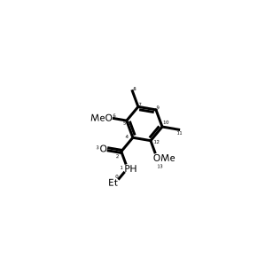 CCPC(=O)c1c(OC)c(C)cc(C)c1OC